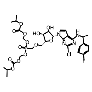 CC(C)OC(=O)OCOP(=O)(COC[C@H]1O[C@@H](n2ccc3c(N[C@@H](C)c4ccc(F)cc4)nc(Cl)nc32)[C@H](O)[C@@H]1O)OCOC(=O)OC(C)C